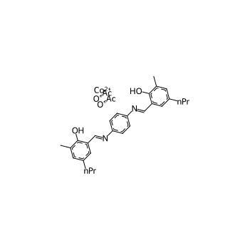 CC(=O)[O-].CC(=O)[O-].CCCc1cc(C)c(O)c(C=Nc2ccc(N=Cc3cc(CCC)cc(C)c3O)cc2)c1.[Co+2]